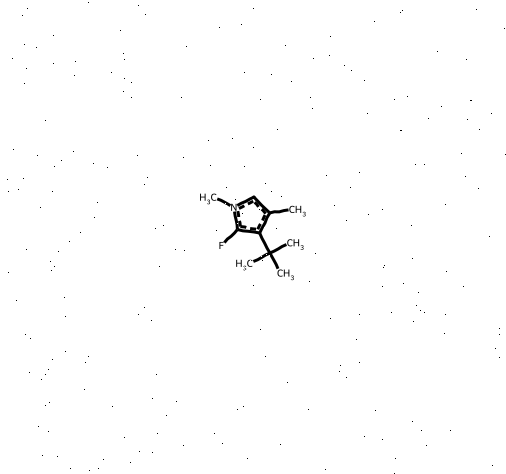 Cc1cn(C)c(F)c1C(C)(C)C